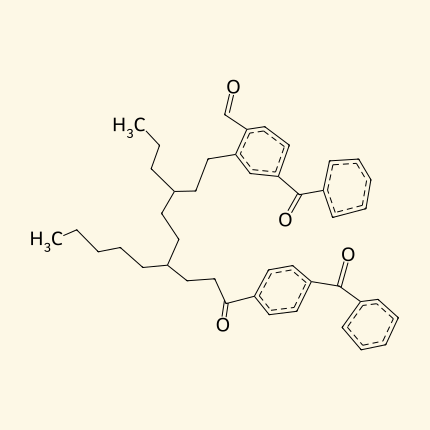 CCCCCC(CCC(=O)c1ccc(C(=O)c2ccccc2)cc1)CCC(CCC)CCc1cc(C(=O)c2ccccc2)ccc1C=O